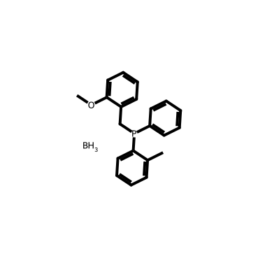 B.COc1ccccc1CP(c1ccccc1)c1ccccc1C